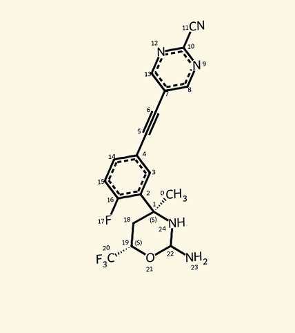 C[C@@]1(c2cc(C#Cc3cnc(C#N)nc3)ccc2F)C[C@@H](C(F)(F)F)OC(N)N1